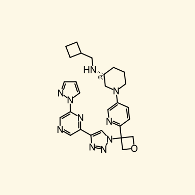 c1cnn(-c2cncc(-c3cn(C4(c5ccc(N6CCC[C@@H](NCC7CCC7)C6)cn5)COC4)nn3)n2)c1